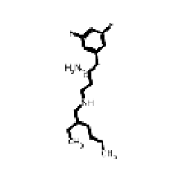 CCCCC(CC)CNC[CH][C@H](N)Cc1cc(F)cc(F)c1